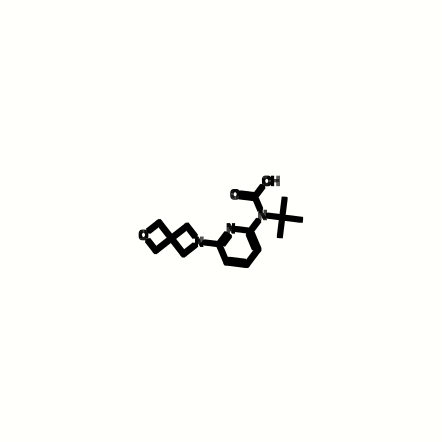 CC(C)(C)N(C(=O)O)c1cccc(N2CC3(COC3)C2)n1